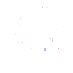 COCOc1ccccc1-c1cc(-c2ccc(N(C)C)c(C(=O)O)c2)c(C#N)c(NC(=O)c2cccs2)n1